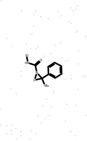 CCNC(=O)N1OC1(c1ccccc1)C(C)(C)C